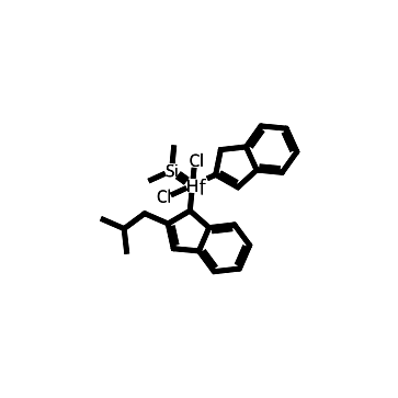 CC(C)CC1=Cc2ccccc2[CH]1[Hf]([Cl])([Cl])([C]1=Cc2ccccc2C1)=[Si](C)C